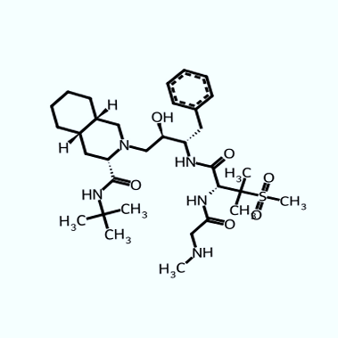 CNCC(=O)N[C@H](C(=O)N[C@@H](Cc1ccccc1)[C@H](O)CN1C[C@H]2CCCC[C@H]2C[C@H]1C(=O)NC(C)(C)C)C(C)(C)S(C)(=O)=O